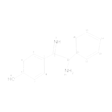 N=C(C1=CCC(O)C=C1)C(N)C1C=CC=CC1